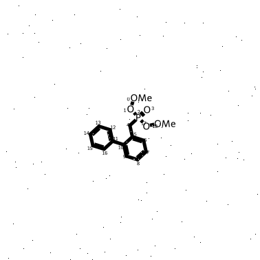 COOP(=O)(Cc1ccccc1-c1ccccc1)OOC